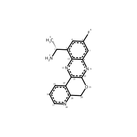 C[C@@H](N)c1cc(F)cc2nc3c(nc12)-c1cccnc1CO3